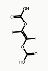 O=C(O)O/C(I)=C(\I)OC(=O)O